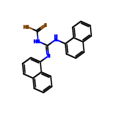 S=C(S)N/C(=N\c1cccc2ccccc12)Nc1cccc2ccccc12